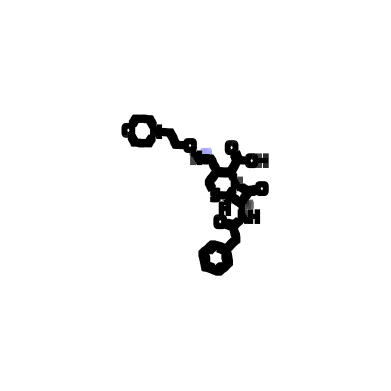 O=C(Cc1ccccc1)N[C@@H]1C(=O)N2C(C(=O)O)=C(/C=N/OCCN3CCOCC3)CS[C@H]12